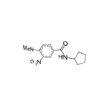 CNc1ccc(C(=O)NC2CCCC2)cc1[N+](=O)[O-]